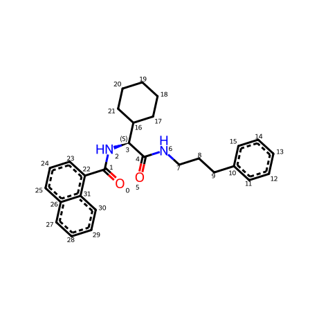 O=C(N[C@H](C(=O)NCCCc1ccccc1)C1CCCCC1)c1cccc2ccccc12